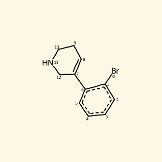 Brc1ccccc1C1=CCCNC1